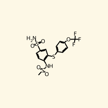 CS(=O)(=O)Nc1ccc(S(N)(=O)=O)cc1Sc1ccc(OC(F)(F)F)cc1